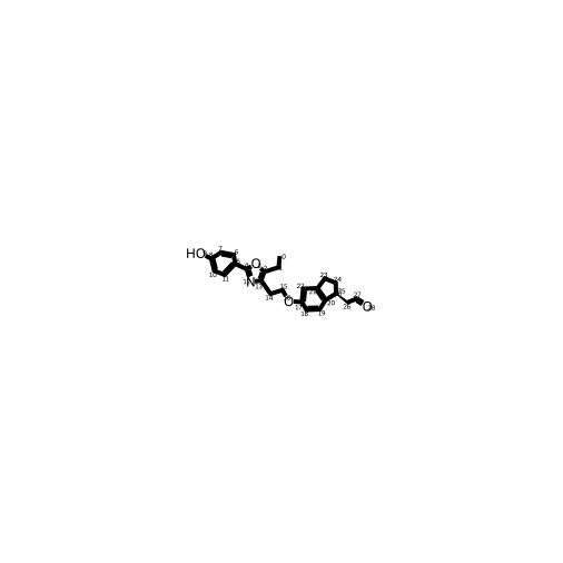 CCc1oc(-c2ccc(O)cc2)nc1CCOc1ccc2c(c1)CC[C@H]2CC=O